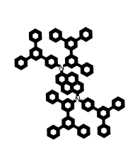 c1ccc(-c2cc(-c3ccccc3)cc(-c3ccc(N(c4cc(-c5ccccc5)cc(-c5cc(-c6ccccc6)cc(-c6ccccc6)c5)c4)c4ccc5ccc6c(N(c7ccc(-c8cc(-c9ccccc9)cc(-c9ccccc9)c8)cc7)c7cc(-c8ccccc8)cc(-c8cc(-c9ccccc9)cc(-c9ccccc9)c8)c7)ccc7ccc4c5c76)cc3)c2)cc1